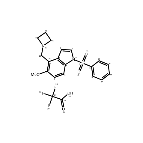 COc1ccc2c(ccn2S(=O)(=O)c2ccccc2)c1CN1CCC1.O=C(O)C(F)(F)F